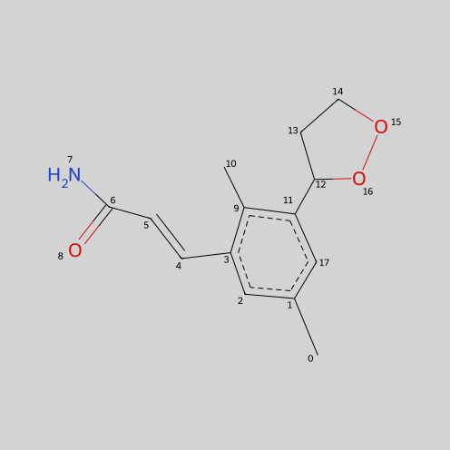 Cc1cc(C=CC(N)=O)c(C)c(C2CCOO2)c1